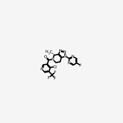 C[C@@H]1c2nnn(-c3ncc(F)cn3)c2CCN1C(=O)c1cncc(C(F)(F)F)c1Cl